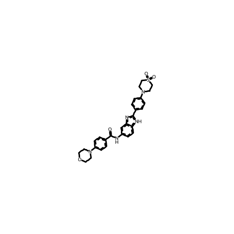 O=C(Nc1ccc2[nH]c(-c3ccc(N4CCS(=O)(=O)CC4)cc3)nc2c1)c1ccc(N2CCOCC2)cc1